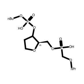 CCCCOP(=O)(O)OC1CCO[C@@H]1COP(=O)(O)COCCC